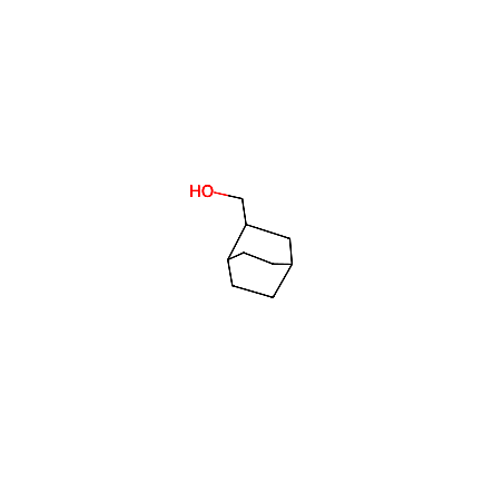 OCC1CC2CCC1CC2